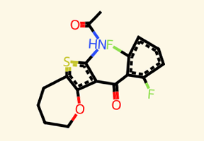 CC(=O)Nc1sc2c(c1C(=O)c1c(F)cccc1F)OCCCC2